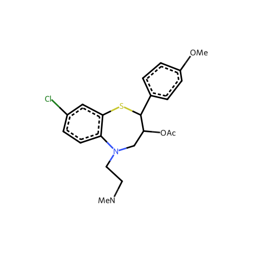 CNCCN1CC(OC(C)=O)C(c2ccc(OC)cc2)Sc2cc(Cl)ccc21